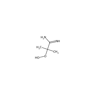 CC(C)(OO)C(=N)N